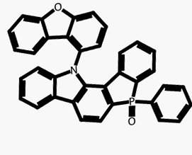 O=P1(c2ccccc2)c2ccccc2-c2c1ccc1c3ccccc3n(-c3cccc4oc5ccccc5c34)c21